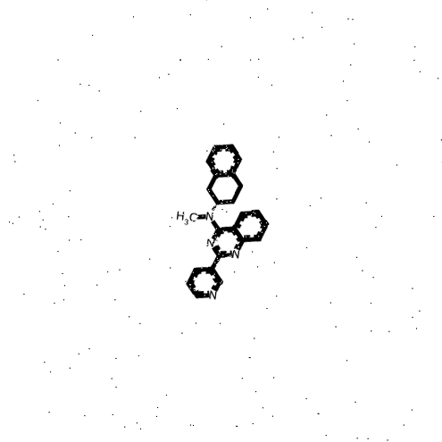 CN(c1nc(-c2cccnc2)nc2ccccc12)[C@H]1CCc2ccccc2C1